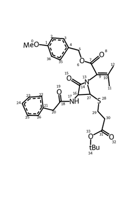 COc1ccc(COC(=O)C(=C(C)C)N2C(=O)C(NC(=O)Cc3ccccc3)C2SCCC(=O)OC(C)(C)C)cc1